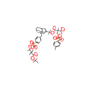 CC(=O)C(C)(COS(=O)(=O)c1ccc(CC23CC4CC(C2)CC(C(C)(C)OC(=O)C(C)(COS(=O)(=O)c2ccc(C)cc2)C(C)=O)(C4)C3)cc1)C(=O)OC(C)(C)C